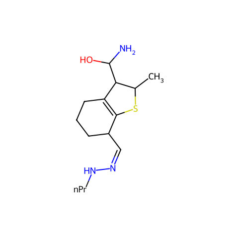 CCCN/N=C\C1CCCC2=C1SC(C)C2C(N)O